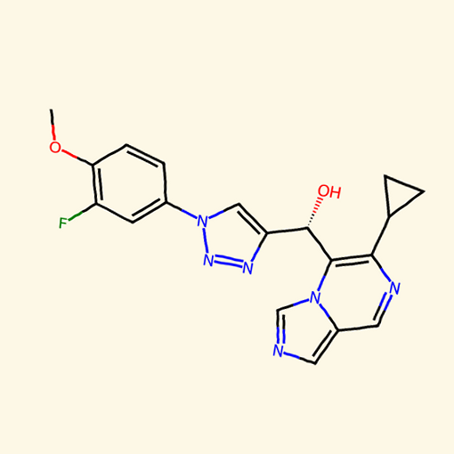 COc1ccc(-n2cc([C@H](O)c3c(C4CC4)ncc4cncn34)nn2)cc1F